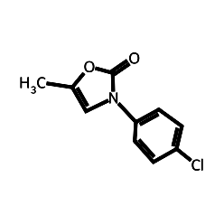 Cc1cn(-c2ccc(Cl)cc2)c(=O)o1